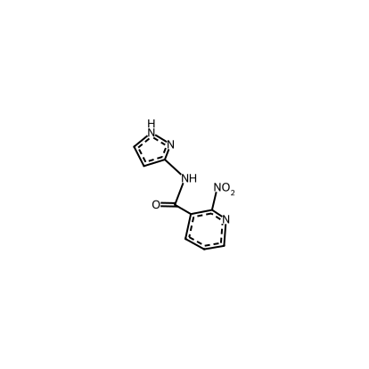 O=C(Nc1cc[nH]n1)c1cccnc1[N+](=O)[O-]